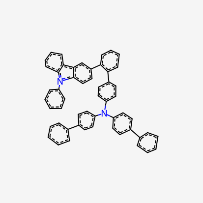 c1ccc(-c2ccc(N(c3ccc(-c4ccccc4)cc3)c3ccc(-c4ccccc4-c4ccc5c(c4)c4ccccc4n5-c4ccccc4)cc3)cc2)cc1